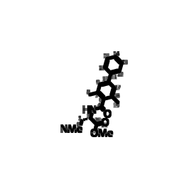 CNC[C@H](NC(=O)c1c(C)cc(-c2ccccc2)cc1C)C(=O)OC